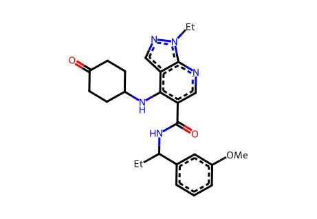 CCC(NC(=O)c1cnc2c(cnn2CC)c1NC1CCC(=O)CC1)c1cccc(OC)c1